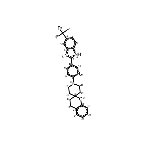 FC(F)(F)c1ccc2[nH]c(-c3ccc(N4CCC5(CCc6ccccc6O5)CC4)nc3)nc2c1